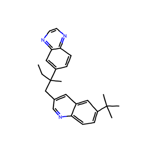 CCC(C)(Cc1cnc2ccc(C(C)(C)C)cc2c1)c1ccc2nccnc2c1